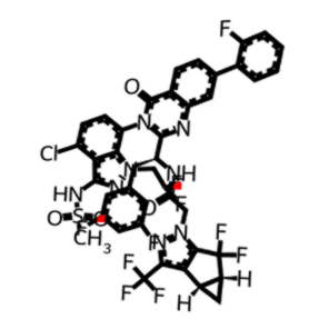 CS(=O)(=O)Nc1nn(CC(F)(F)F)c2c(-n3c([C@H](Cc4cc(F)cc(F)c4)NC(=O)Cn4nc(C(F)(F)F)c5c4C(F)(F)[C@@H]4C[C@H]54)nc4cc(-c5ccccc5F)ccc4c3=O)ccc(Cl)c12